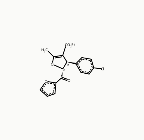 CCOC(=O)C1=C(C)O[C@@H](C(=O)c2ccco2)[C@@H]1c1ccc(Cl)cc1